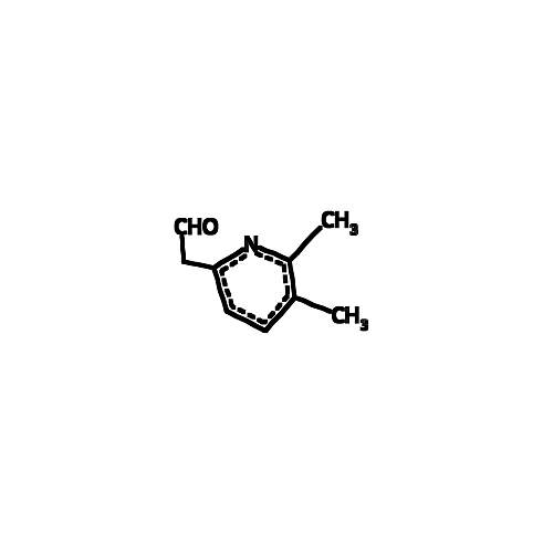 Cc1ccc(CC=O)nc1C